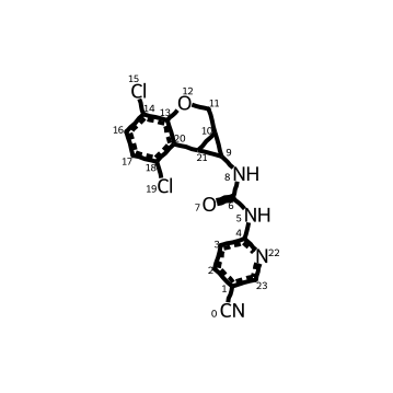 N#Cc1ccc(NC(=O)NC2C3COc4c(Cl)ccc(Cl)c4C32)nc1